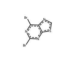 Brc1nc(Br)c2ncsc2n1